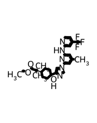 CCOC(=O)C(C)(C)[C@H]1CC[C@@](O)(c2cn(-c3cc(C)cc(Nc4cc(C(F)(F)F)ccn4)n3)cn2)CC1